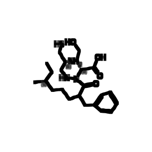 CC[C@H](C)CCCC(Cc1ccccc1)C(=O)N(NC[C@@H](N)CS)[C@H](CCO)C(=O)O